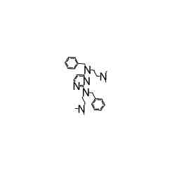 CN(C)CCN(Cc1ccccc1)c1ccnc(N(CCN(C)C)Cc2ccccc2)n1